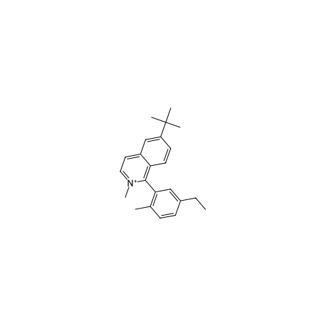 CCc1ccc(C)c(-c2c3ccc(C(C)(C)C)cc3cc[n+]2C)c1